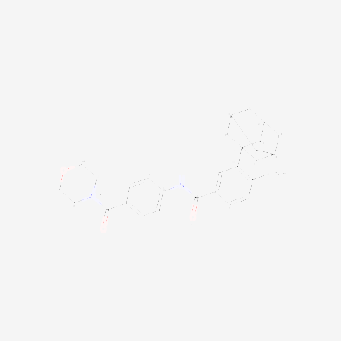 COc1ccc(C(=O)Nc2ccc(C(=O)N3CCOCC3)cc2)cc1C12CC3CC(CC(C3)C1)C2